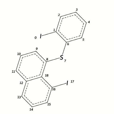 Ic1ccccc1Sc1cccc2cccc(I)c12